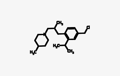 CC1CCN(CC(C)Cc2ccc(CCl)cc2C(C)C)CC1